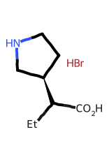 Br.CCC(C(=O)O)[C@@H]1CCNC1